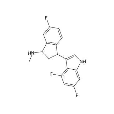 CNC1CC(c2c[nH]c3cc(F)cc(F)c23)c2ccc(F)cc21